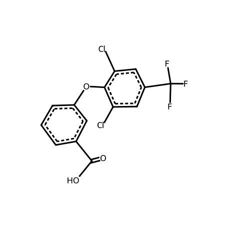 O=C(O)c1cccc(Oc2c(Cl)cc(C(F)(F)F)cc2Cl)c1